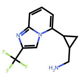 NCC1CC1c1cccc2nc(C(F)(F)F)cn12